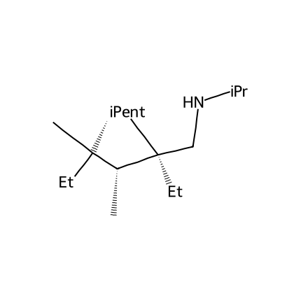 CCC[C@@H](C)C(C)(CC)[C@@H](C)[C@](C)(CC)CNC(C)C